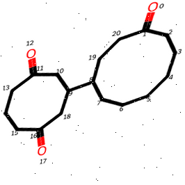 O=C1CCCCCCC(C2CC(=O)CCCC(=O)C2)CC1